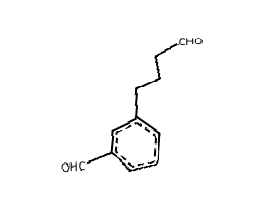 O=CCCCc1cccc(C=O)c1